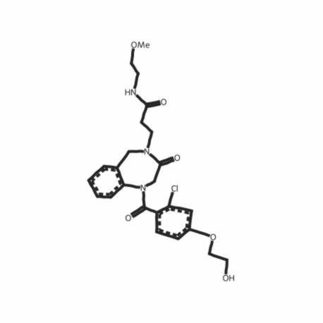 COCCNC(=O)CCN1Cc2ccccc2N(C(=O)c2ccc(OCCO)cc2Cl)CC1=O